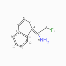 NC(CF)=C1CC=Cc2ccccc21